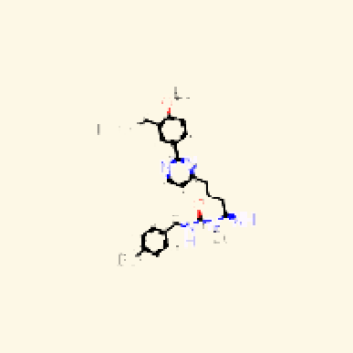 CCOc1ccc(-c2nccc(CCCC(=N)N(CC)C(=O)NCc3ccc(C(C)(C)C)cc3)n2)cc1CC(=O)O